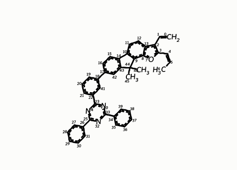 C=Cc1c(/C=C\C)oc2c3c(ccc12)-c1ccc(-c2cccc(-c4nc(-c5ccccc5)nc(-c5ccccc5)n4)c2)cc1C3(C)C